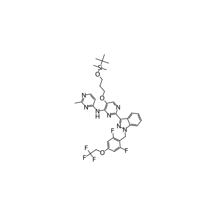 Cc1nccc(Nc2nc(-c3nn(Cc4c(F)cc(OCC(F)(F)F)cc4F)c4ccccc34)ncc2OCCCO[Si](C)(C)C(C)(C)C)n1